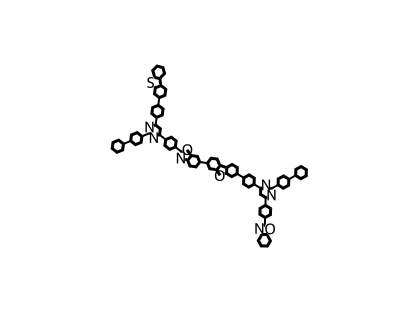 c1ccc(-c2ccc(-c3nc(-c4ccc(-c5ccc6c(c5)oc5cc(-c7ccc8nc(-c9ccc(-c%10cc(-c%11ccc(-c%12ccc%13c(c%12)sc%12ccccc%12%13)cc%11)nc(-c%11ccc(-c%12ccccc%12)cc%11)n%10)cc9)oc8c7)ccc56)cc4)cc(-c4ccc(-c5nc6ccccc6o5)cc4)n3)cc2)cc1